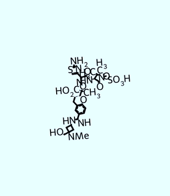 CNC1(CO)CC(NC(=N)c2ccc3c(c2)CC[C@H]([C@](C)(O/N=C(\C(=O)N[C@@H]2C(=O)N(OS(=O)(=O)O)C2(C)C)c2csc(N)n2)C(=O)O)O3)C1